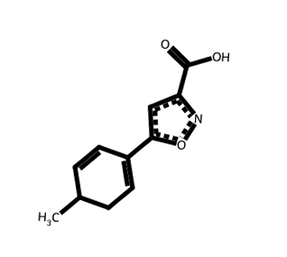 CC1C=CC(c2cc(C(=O)O)no2)=CC1